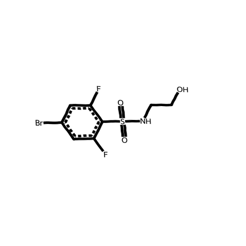 O=S(=O)(NCCO)c1c(F)cc(Br)cc1F